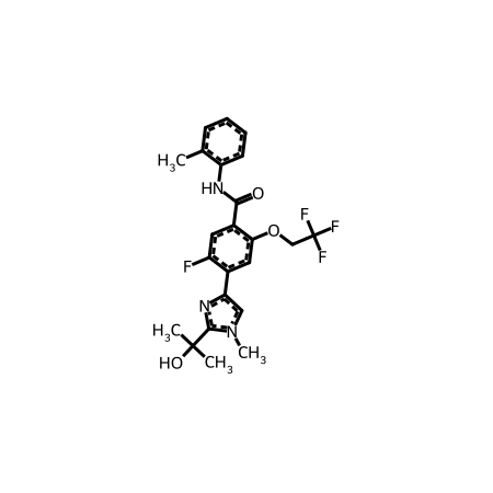 Cc1ccccc1NC(=O)c1cc(F)c(-c2cn(C)c(C(C)(C)O)n2)cc1OCC(F)(F)F